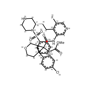 COC(=O)NC1(C(=O)Nc2cncc(F)c2CC[C@H]2CNCCN2S(=O)(=O)c2ccccc2)C2COCCC21c1ccc(Cl)cc1